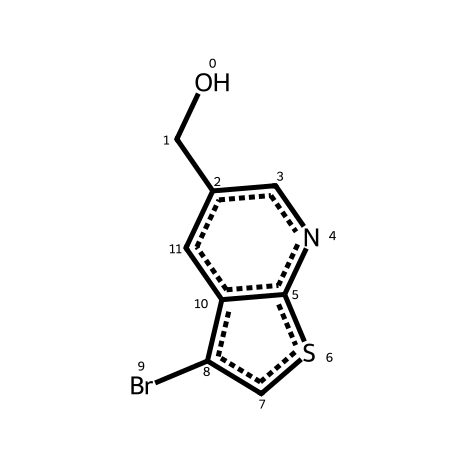 OCc1cnc2scc(Br)c2c1